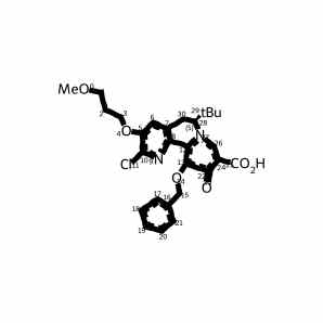 COCCCOc1cc2c(nc1Cl)-c1c(OCc3ccccc3)c(=O)c(C(=O)O)cn1[C@H](C(C)(C)C)C2